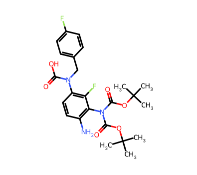 CC(C)(C)OC(=O)N(C(=O)OC(C)(C)C)c1c(N)ccc(N(Cc2ccc(F)cc2)C(=O)O)c1F